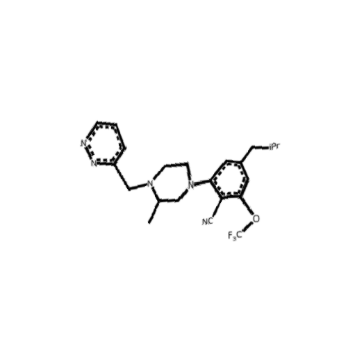 CC(C)Cc1cc(OC(F)(F)F)c(C#N)c(N2CCN(Cc3cccnn3)C(C)C2)c1